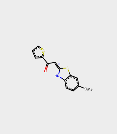 COc1ccc2c(c1)S/C(=C/C(=O)c1cccs1)N2